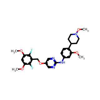 COc1cc(Nc2ncc(OCc3c(F)c(OC)cc(OC)c3F)cn2)ccc1C1CCN(OC)CC1